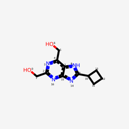 OCc1nc(CO)c2[nH]c(C3CCC3)nc2n1